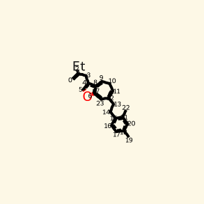 C=C(CC)Cc1coc2c1=CCC=C(CCc1ccc(C)cc1C)C=2